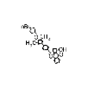 CCCCC1CCC(COc2c(C)cc(-c3ccc(Sc4ccc(O)c5c4C(=O)c4ccccc4C5=O)cc3)cc2C)CC1